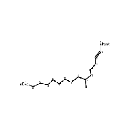 [CH2]CCCC/C=C/CCCC(C)CCCCCCCCCCCCCCCCC[CH2]